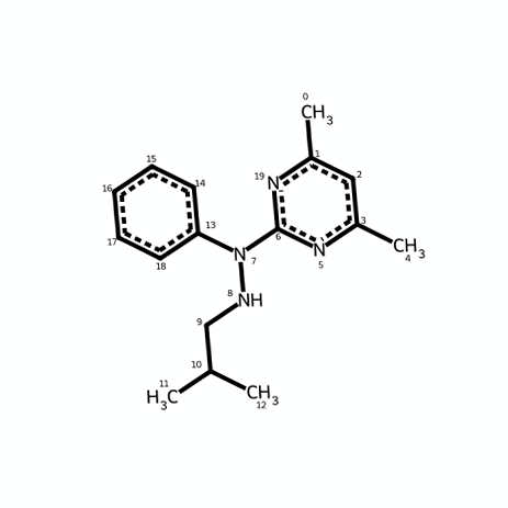 Cc1cc(C)nc(N(NCC(C)C)c2ccccc2)n1